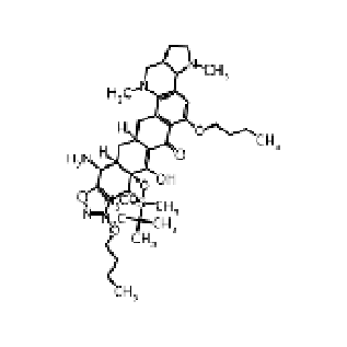 CCCCOc1cc2c(c3c1C(=O)C1=C(O)[C@]4(O[Si](C)(C)C(C)(C)C)C(=O)c5c(OCCCC)noc5[C@@H](N)[C@@H]4C[C@@H]1C3)N(C)CC1CCN(C)C21